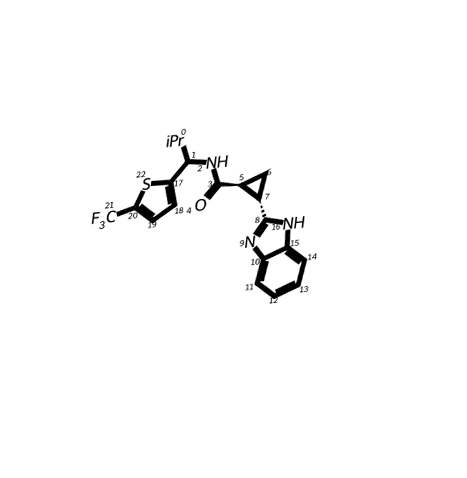 CC(C)C(NC(=O)[C@H]1C[C@@H]1c1nc2ccccc2[nH]1)c1ccc(C(F)(F)F)s1